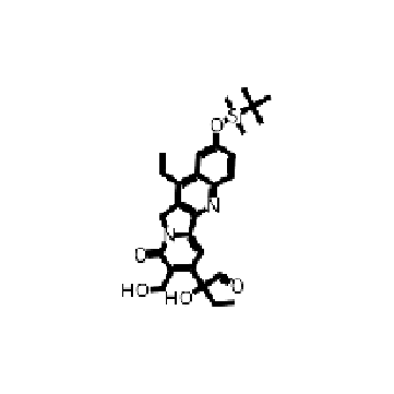 CCc1c2c(nc3ccc(O[Si](C)(C)C(C)(C)C)cc13)-c1cc(C(O)(C=O)CC)c(CO)c(=O)n1C2